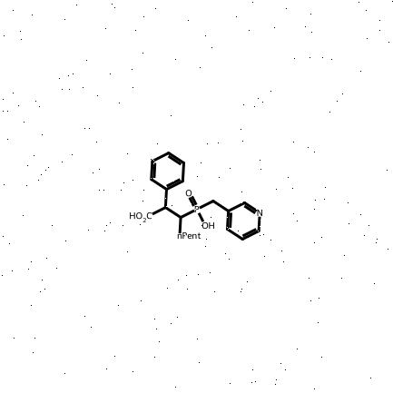 CCCCCC(C(C(=O)O)c1ccccc1)P(=O)(O)Cc1cccnc1